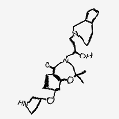 CC1(C)CN(CC(O)CN2CCc3ccccc3C2)C(=O)c2ccc(OC3CNC3)cc2O1